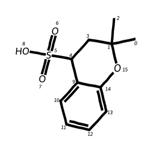 CC1(C)CC(S(=O)(=O)O)c2ccccc2O1